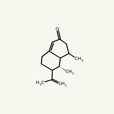 C=C(C)C1CCC2=CC(=O)CC(C)C2[C@@H]1C